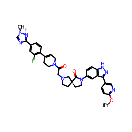 CC(C)Oc1ccc(-c2n[nH]c3ccc(N4CC[C@]5(CCN(CC(=O)N6CC=C(c7ccc(-c8ncn(C)n8)cc7F)CC6)C5)C4=O)cc23)cn1